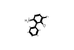 Nc1ccc(F)c(Cl)c1-c1ccccc1